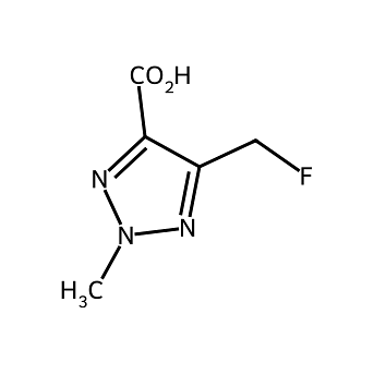 Cn1nc(CF)c(C(=O)O)n1